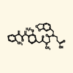 COc1cc(CC(=O)N(C)CC(=O)N(CCC(=O)O)Cc2ccc3c(c2)OOC3)ccc1NC(=O)Nc1ccccc1C